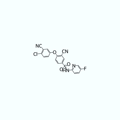 N#Cc1cc(Oc2ccc(S(=O)(=O)Nc3ccc(F)cn3)cc2C#N)ccc1Cl